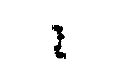 Cc1c(CCC(=O)OCCCCCCOC(=O)CCc2cc(C(C)(C)C)c(O)c(C)c2C)cc(C(C)(C)C)c(O)c1C